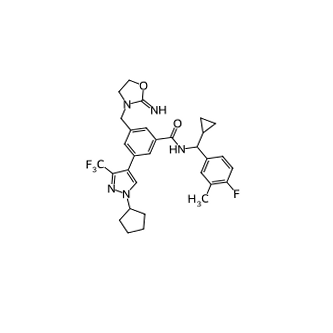 Cc1cc(C(NC(=O)c2cc(CN3CCOC3=N)cc(-c3cn(C4CCCC4)nc3C(F)(F)F)c2)C2CC2)ccc1F